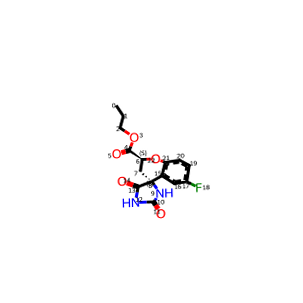 CCCOC(=O)[C@@H]1C[C@@]2(NC(=O)NC2=O)c2cc(F)ccc2O1